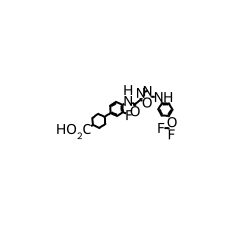 O=C(Nc1ccc(C2CCC(C(=O)O)CC2)cc1F)c1nnc(Nc2ccc(OC(F)F)cc2)o1